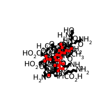 CC(C)C[C@H](NC(=O)[C@H](CC(C)C)NC(=O)[C@H](CC(N)=O)NC(=O)[C@H](C)NC(=O)[C@H](CO)NC(=O)[C@H](CCC(N)=O)NC(=O)[C@@H](N)CO)C(=O)N[C@@H](C)C(=O)N[C@@H](CCC(=O)O)C(=O)N[C@@H](C)C(=O)N[C@@H](CCCCN)C(=O)N[C@@H](CCCCN)C(=O)N[C@@H](CC(C)C)C(=O)N[C@@H](CC(N)=O)C(=O)N[C@@H](CC(=O)O)C(=O)N[C@@H](C)C(=O)N[C@@H](CCC(N)=O)C(=O)N1CCC[C@H]1C(=O)N[C@@H](CCCCN)C(=O)O